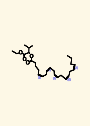 CCC/C=C\C/C=C\C/C=C\C/C=C\C/C=C\CCCC(=O)OC(C(=O)OCC)C(C)C